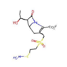 CC(O)C1C(=O)N2C(C(=O)O)=C(CS(=O)(=O)CCSN)CC12